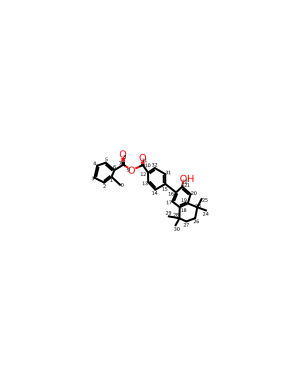 Cc1ccccc1C(=O)OC(=O)c1ccc(-c2cc3c(cc2O)C(C)(C)CCC3(C)C)cc1